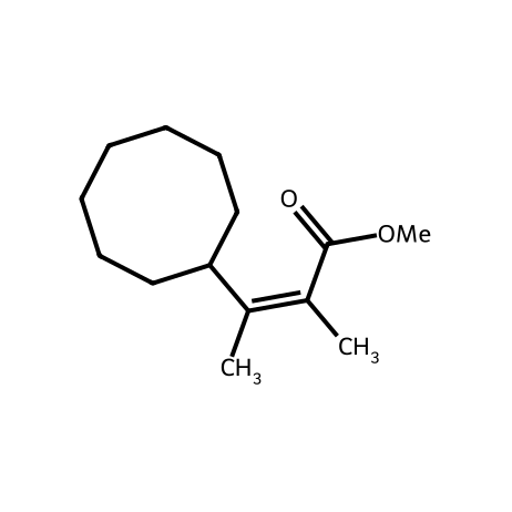 COC(=O)C(C)=C(C)C1CCCCCCC1